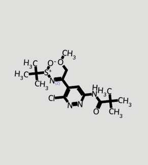 COC/C(=N\[S+]([O-])C(C)(C)C)c1cc(NC(=O)C(C)(C)C)nnc1Cl